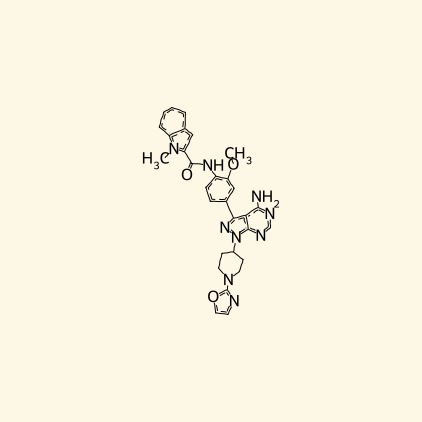 COc1cc(-c2nn(C3CCN(c4ncco4)CC3)c3ncnc(N)c23)ccc1NC(=O)c1cc2ccccc2n1C